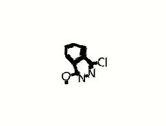 COc1nnc(Cl)c2ccccc12